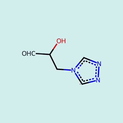 O=CC(O)Cn1[c]nnc1